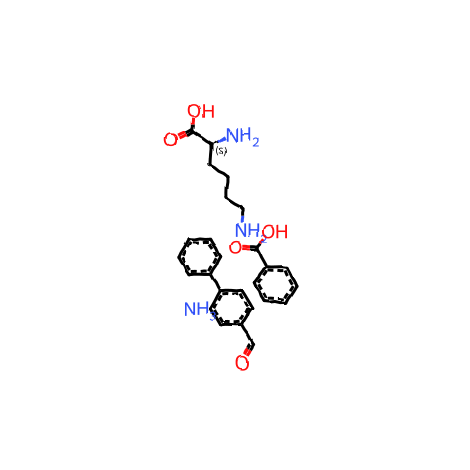 N.NCCCC[C@H](N)C(=O)O.O=C(O)c1ccccc1.O=Cc1ccc(-c2ccccc2)cc1